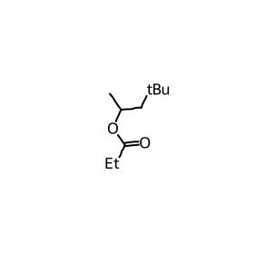 CCC(=O)OC(C)CC(C)(C)C